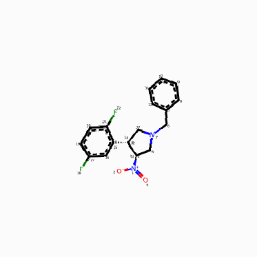 O=[N+]([O-])[C@@H]1CN(Cc2ccccc2)C[C@H]1c1cc(F)ccc1F